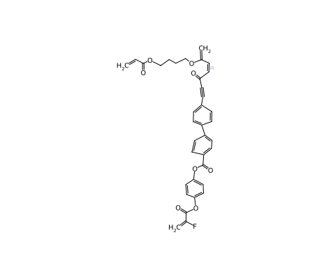 C=CC(=O)OCCCCOC(=C)/C=C\C(=O)C#Cc1ccc(-c2ccc(C(=O)Oc3ccc(OC(=O)C(=C)F)cc3)cc2)cc1